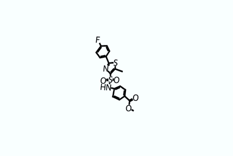 COC(=O)c1ccc(NS(=O)(=O)c2nc(-c3ccc(F)cc3)sc2C)cc1